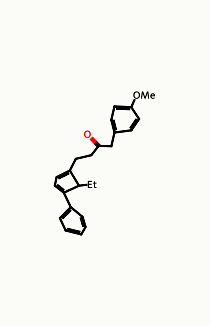 CCC1C(CCC(=O)Cc2ccc(OC)cc2)=CC=C1c1ccccc1